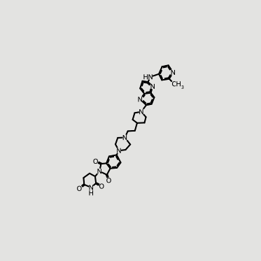 Cc1cc(Nc2ccc3nc(N4CCC(CCN5CCN(c6ccc7c(c6)C(=O)N(C6CCC(=O)NC6=O)C7=O)CC5)CC4)ccc3n2)ccn1